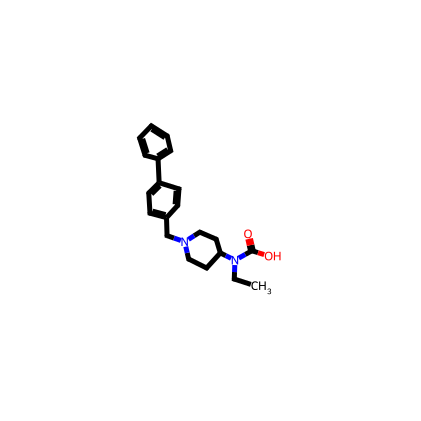 CCN(C(=O)O)C1CCN(Cc2ccc(-c3ccccc3)cc2)CC1